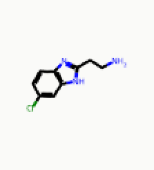 NCCc1nc2ccc(Cl)cc2[nH]1